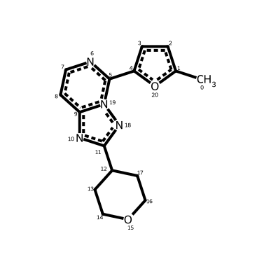 Cc1ccc(-c2nccc3nc(C4CCOCC4)nn23)o1